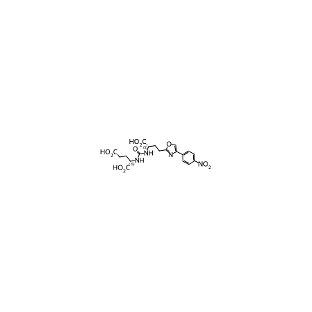 O=C(O)CC[C@H](NC(=O)N[C@@H](CCc1nc(-c2ccc([N+](=O)[O-])cc2)co1)C(=O)O)C(=O)O